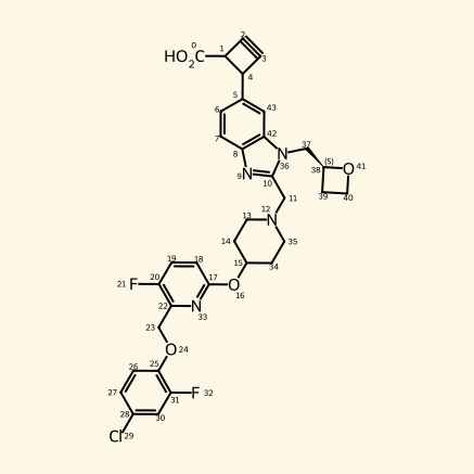 O=C(O)C1C#CC1c1ccc2nc(CN3CCC(Oc4ccc(F)c(COc5ccc(Cl)cc5F)n4)CC3)n(C[C@@H]3CCO3)c2c1